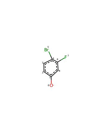 [O]c1ccc(Br)c(F)c1